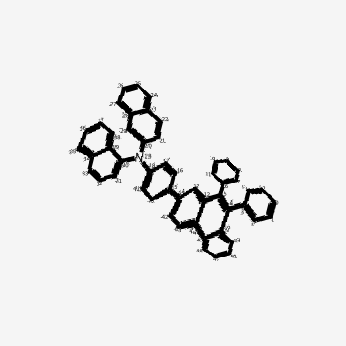 c1ccc(-c2c(-c3ccccc3)c3cc(-c4ccc(N(c5ccc6ccccc6c5)c5cccc6ccccc56)cc4)ccc3c3ccccc23)cc1